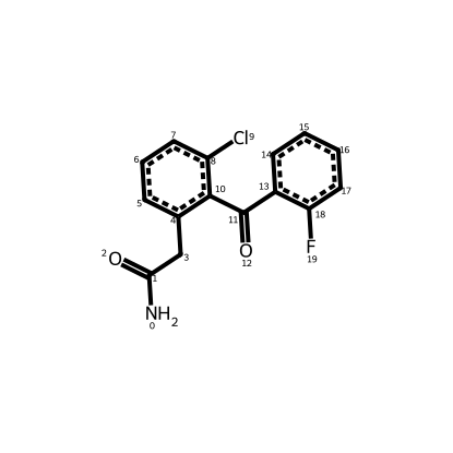 NC(=O)Cc1cccc(Cl)c1C(=O)c1ccccc1F